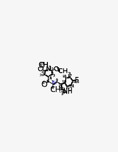 COc1cc(C(=O)/C(C)=C/c2c[nH]c3cc(F)ccc23)cc(OC)n1